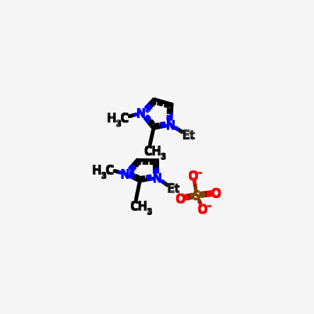 CCn1cc[n+](C)c1C.CCn1cc[n+](C)c1C.O=S(=O)([O-])[O-]